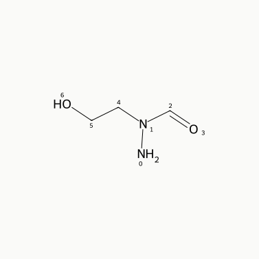 NN(C=O)CCO